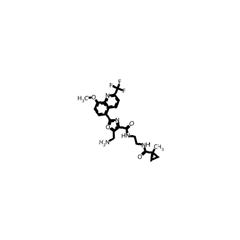 COc1ccc(-c2nc(C(=O)NCCNC(=O)C3(C)CC3)c(CN)o2)c2ccc(C(F)(F)F)nc12